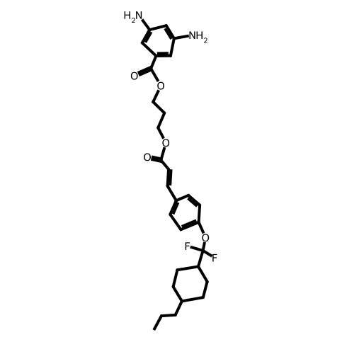 CCCC1CCC(C(F)(F)Oc2ccc(/C=C/C(=O)OCCCOC(=O)c3cc(N)cc(N)c3)cc2)CC1